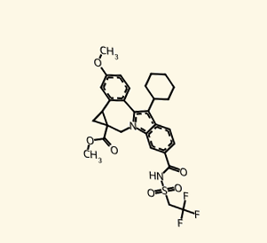 COC(=O)C12CC1c1cc(OC)ccc1-c1c(C3CCCCC3)c3ccc(C(=O)NS(=O)(=O)CC(F)(F)F)cc3n1C2